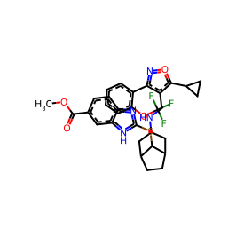 COC(=O)c1ccc2nc(SC3C4CCC3CC(NCc3c(-c5ccccc5OC(F)(F)F)noc3C3CC3)C4)[nH]c2c1